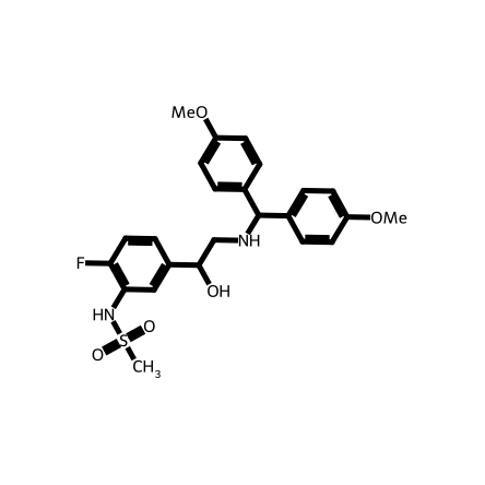 COc1ccc(C(NCC(O)c2ccc(F)c(NS(C)(=O)=O)c2)c2ccc(OC)cc2)cc1